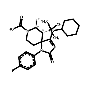 C[C@H]1[C@H](C(C)(C)C)C2(CCN1C(=O)O)C(NC1CCCCC1)=NC(=O)N2c1ccc(I)cc1